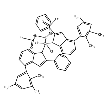 CCC(=O)N[B](NC(=O)CC)[Zr]([Cl])([Cl])([CH]1C(c2ccccc2)=Cc2c(-c3cc(C)cc(C)c3C)cccc21)[CH]1C(c2ccccc2)=Cc2c(-c3cc(C)cc(C)c3C)cccc21